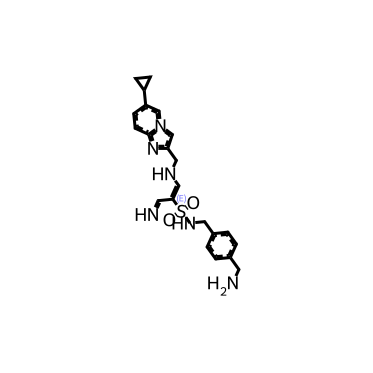 N=C/C(=C\NCc1cn2cc(C3CC3)ccc2n1)S(=O)(=O)NCc1ccc(CN)cc1